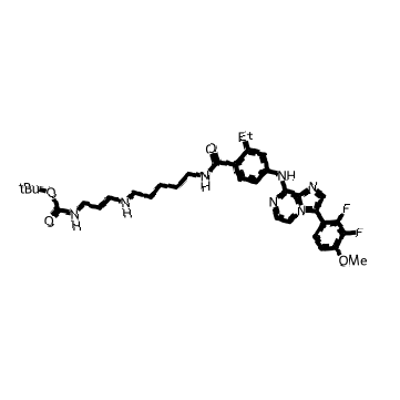 CCc1cc(Nc2nccn3c(-c4ccc(OC)c(F)c4F)cnc23)ccc1C(=O)NCCCCCNCCCNC(=O)OC(C)(C)C